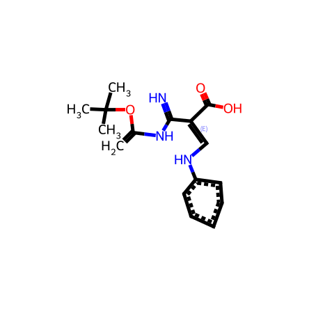 C=C(NC(=N)/C(=C\Nc1ccccc1)C(=O)O)OC(C)(C)C